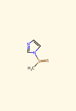 CS(=S)n1ccnc1